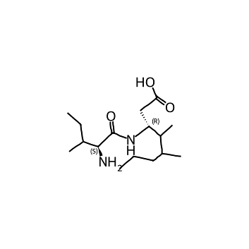 CCCC(C)C(C)[C@@H](CC(=O)O)NC(=O)[C@@H](N)C(C)CC